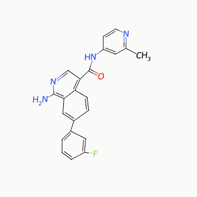 Cc1cc(NC(=O)c2cnc(N)c3cc(-c4cccc(F)c4)ccc23)ccn1